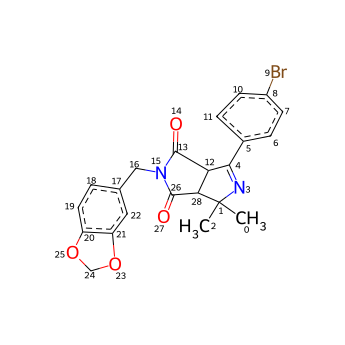 CC1(C)N=C(c2ccc(Br)cc2)C2C(=O)N(Cc3ccc4c(c3)OCO4)C(=O)C21